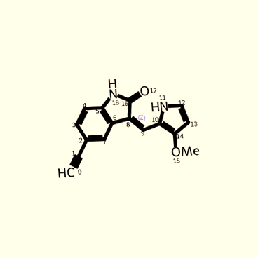 C#Cc1ccc2c(c1)/C(=C/c1[nH]ccc1OC)C(=O)N2